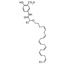 CC/C=C\C/C=C\C/C=C\C/C=C\C/C=C\C/C=C\CCCOC(CC)C(=O)Nc1ccc(O)c(C(=O)O)c1